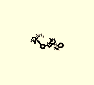 C=C1N(C)CCC1(C#Cc1cccc(-c2ccc3c(-n4nnc5ccccc54)cnc(C)c3n2)c1)CN